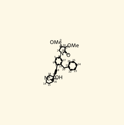 CO[C@@H]1CN(c2ccc(C#C[C@@]3(O)CN4CCC3CC4)c(Cc3ccccc3)c2)C(=O)[C@@H]1OC